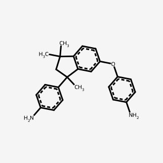 CC1(C)CC(C)(c2ccc(N)cc2)c2cc(Oc3ccc(N)cc3)ccc21